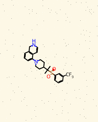 CC(C)(C1CCN(c2cccc3c2C=CNC3)CC1)S(=O)(=O)c1cccc(C(F)(F)F)c1